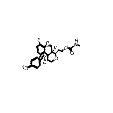 CNC(=O)OCC[C@H]1OCC[C@]2(S(=O)(=O)c3ccc(Cl)cc3)c3c(F)ccc(F)c3OC[C@H]12